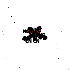 N#Cc1cc(-n2c3ccc(-c4ccccc4C#N)cc3c3cc(-c4ccccc4C#N)ccc32)c(-c2cc(-c3ccccc3)nc(-c3ccccc3)n2)c(-n2c3ccc(-c4ccccc4C#N)cc3c3cc(-c4ccccc4C#N)ccc32)c1